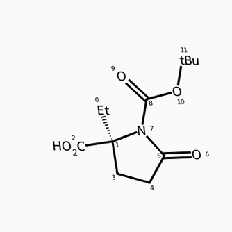 CC[C@@]1(C(=O)O)CCC(=O)N1C(=O)OC(C)(C)C